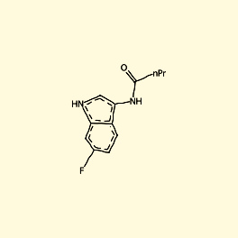 CCCC(=O)Nc1c[nH]c2cc(F)ccc12